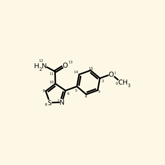 COc1ccc(-c2nscc2C(N)=O)cc1